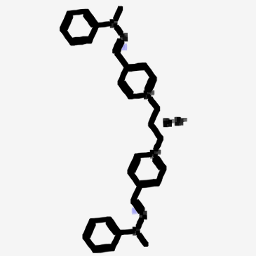 CN(/N=C/c1cc[n+](CCC[n+]2ccc(/C=N/N(C)c3ccccc3)cc2)cc1)c1ccccc1.[Br-].[Br-]